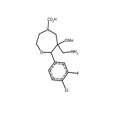 COC1(CN)CN(C(=O)O)CCOC1c1ccc(Cl)c(F)c1